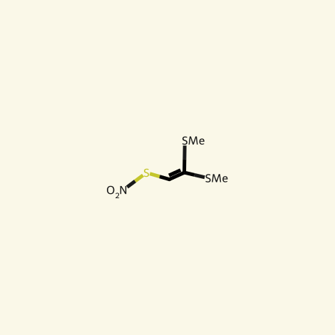 CSC(=CS[N+](=O)[O-])SC